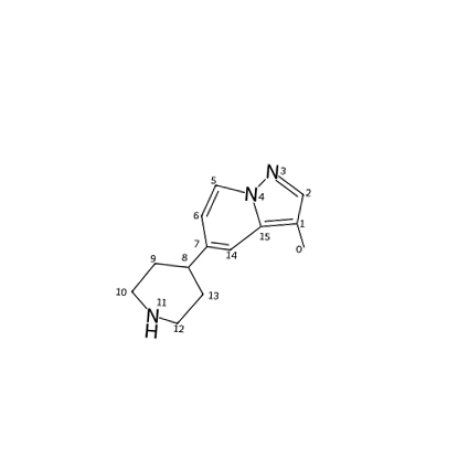 Cc1cnn2ccc(C3CCNCC3)cc12